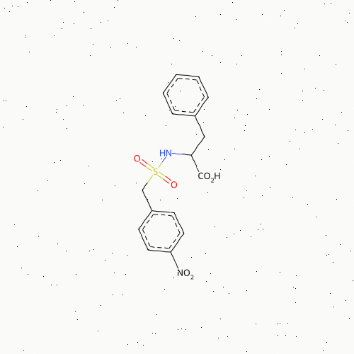 O=C(O)C(Cc1ccccc1)NS(=O)(=O)Cc1ccc([N+](=O)[O-])cc1